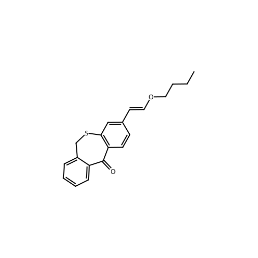 CCCCOC=Cc1ccc2c(c1)SCc1ccccc1C2=O